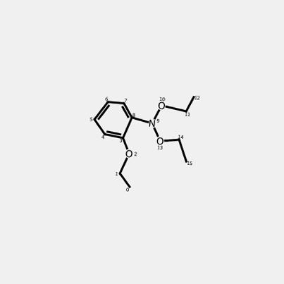 CCOc1ccccc1N(OCC)OCC